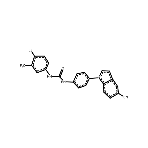 N#Cc1ccc2c(ccn2-c2ccc(NC(=O)Nc3ccc(Cl)c(C(F)(F)F)c3)cc2)c1